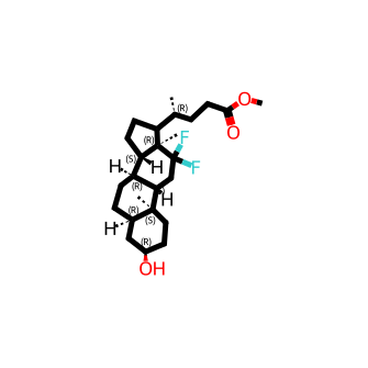 COC(=O)CC[C@@H](C)C1CC[C@H]2[C@@H]3CC[C@@H]4C[C@H](O)CC[C@]4(C)[C@H]3CC(F)(F)[C@]12C